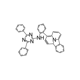 C1#CC2c3ccccc3C3=CC=CC(=C1c1ccccc1Nc1nc(-c4ccccc4)nc(-c4ccccc4)n1)N32